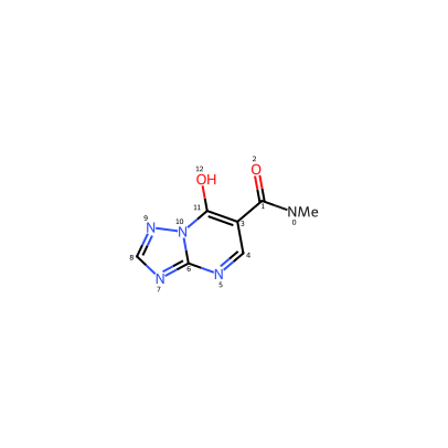 CNC(=O)c1cnc2ncnn2c1O